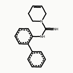 N=C(Nc1ccccc1-c1ccccc1)N1CC=CCC1